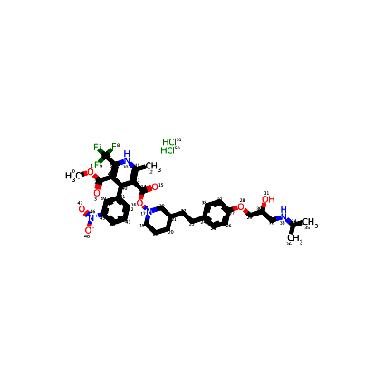 COC(=O)C1=C(C(F)(F)F)NC(C)=C(C(=O)ON2CCCC(CCc3ccc(OCC(O)CNC(C)C)cc3)C2)C1c1cccc([N+](=O)[O-])c1.Cl.Cl